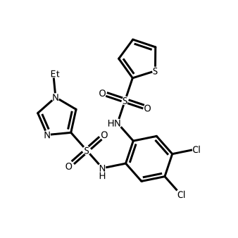 CCn1cnc(S(=O)(=O)Nc2cc(Cl)c(Cl)cc2NS(=O)(=O)c2cccs2)c1